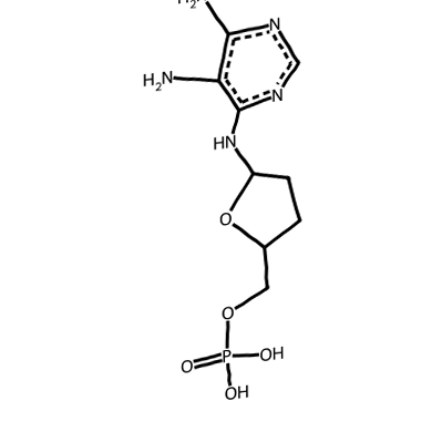 Nc1ncnc(NC2CCC(COP(=O)(O)O)O2)c1N